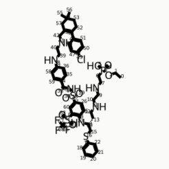 CCOP(=O)(O)CCNCCNCC[C@H](CSc1ccccc1)Nc1ccc(S(=O)(=O)NC(=O)c2ccc(NCCNCC3=C(c4ccc(Cl)cc4)CCC(C)(C)C3)cc2)cc1S(=O)(=O)C(F)(F)F